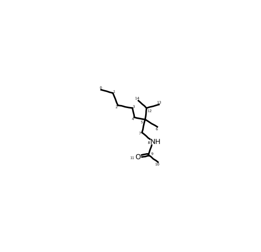 CCCCCC(C)(CNC(C)=O)C(C)C